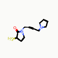 O=C1C(S)CCN1CC#CCN1CCCC1